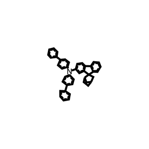 c1ccc(-c2ccc(N(c3ccc(-c4ccccc4)cc3)c3ccc4c(c3)C3(CC5CCC3C5)c3ccccc3-4)cc2)cc1